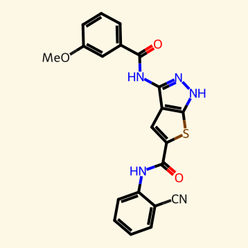 COc1cccc(C(=O)Nc2n[nH]c3sc(C(=O)Nc4ccccc4C#N)cc23)c1